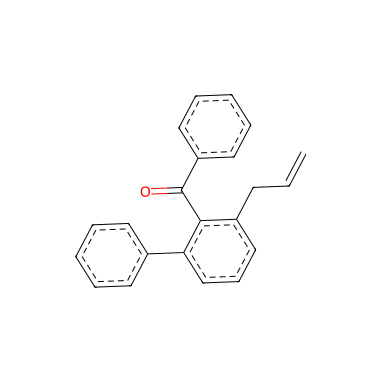 C=CCc1cccc(-c2ccccc2)c1C(=O)c1ccccc1